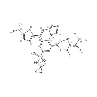 CC1CN(c2cc(S(=O)(=O)NC3(C)CC3)cc3c(-c4nnc(C(F)F)s4)nc4ccnn4c23)CCN1C(=O)N(C)C